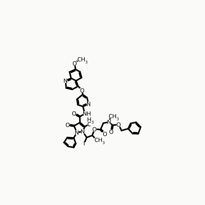 COc1ccc2c(Oc3ccc(NC(=O)c4c(C)n(C(I)C(C)OC(=O)CN(C)C(=O)OCc5ccccc5)n(-c5ccccc5)c4=O)nc3)ccnc2c1